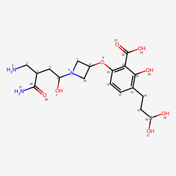 NCC(CC(O)N1CC(Oc2ccc(CCB(O)O)c(O)c2C(=O)O)C1)C(N)=O